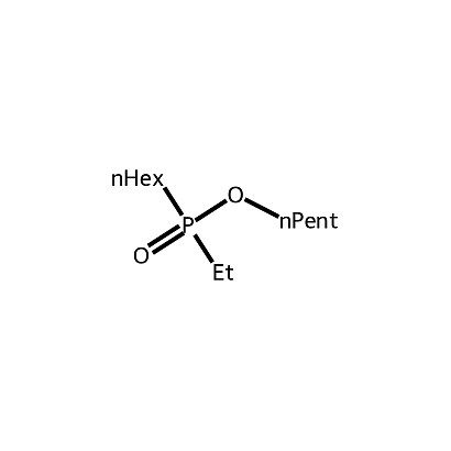 CCCCCCP(=O)(CC)OCCCCC